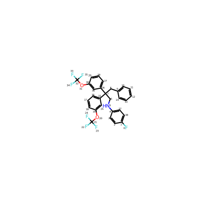 Fc1ccc(NCC(Cc2ccccc2)(c2cccc(OC(F)(F)F)c2)c2cccc(OC(F)(F)F)c2)cc1